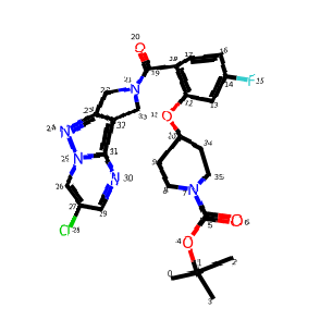 CC(C)(C)OC(=O)N1CCC(Oc2cc(F)ccc2C(=O)N2Cc3nn4cc(Cl)cnc4c3C2)CC1